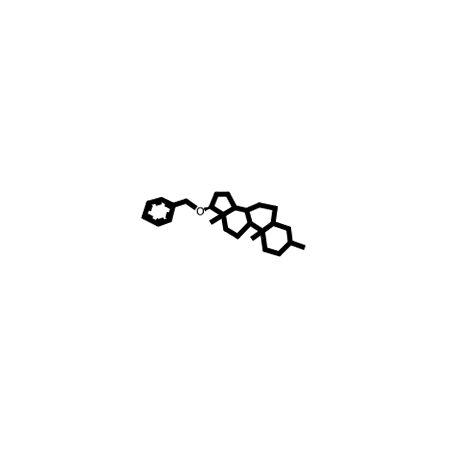 CC1CCC2(C)C(CCC3C2CCC2(C)C3CC[C@@H]2OCc2ccccc2)C1